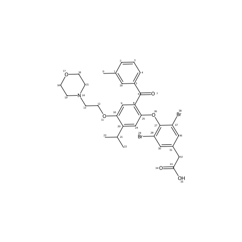 Cc1cccc(C(=O)c2cc(OCCN3CCOCC3)c(C(C)C)cc2Oc2c(Br)cc(CC(=O)O)cc2Br)c1